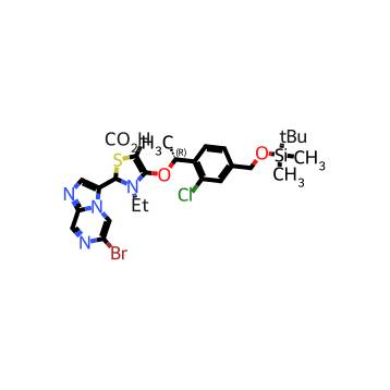 CCN1C(O[C@H](C)c2ccc(CO[Si](C)(C)C(C)(C)C)cc2Cl)=C(C(=O)O)SC1c1cnc2cnc(Br)cn12